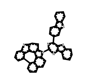 c1cc2c3c(c1)ccc1c3c3c4c(ccc3n1-c1nc(-c3ccc5c(c3)sc3ccccc35)c3sc5ccccc5c3n1)sc1cccc-2c14